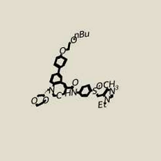 CCCCOCCOc1ccc(-c2ccc3c(c2)/C=C(/C(=O)Nc2ccc([S@+]([O-])Cc4c(C)ncn4CC)cc2)CCCN3C[C@H]2COCCO2)cc1